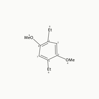 CCc1cc(OC)c(CC)cc1OC